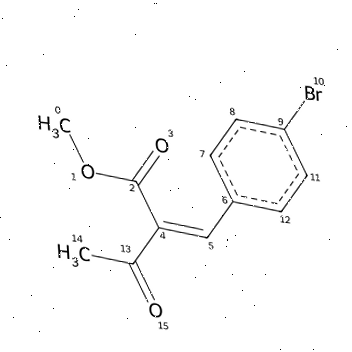 COC(=O)C(=Cc1ccc(Br)cc1)C(C)=O